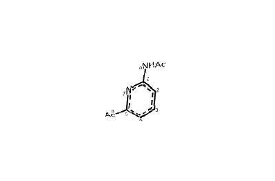 CC(=O)Nc1cccc(C(C)=O)n1